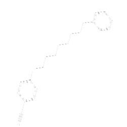 N#Cc1ccc(OCCCCCCCCc2ccccc2)cc1